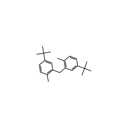 Cc1ccc(C(C)(C)C)cc1Cc1cc(C(C)(C)C)ccc1C